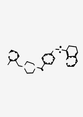 O=C(c1ccc(NS(=O)(=O)C2=c3ncccc3=CCC2)cc1)N1CCN(Cc2cccnc2Cl)CC1